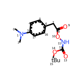 CN(C)c1ccc(CC(=O)ONC(=O)OC(C)(C)C)cc1